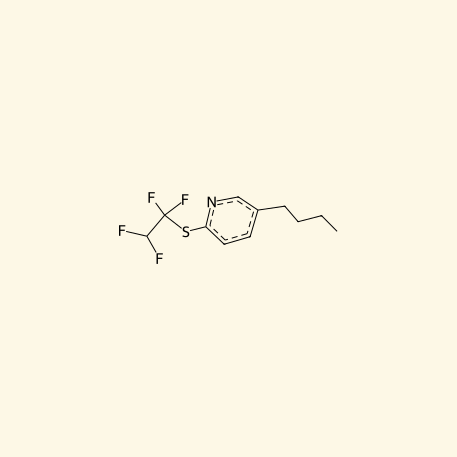 CCCCc1ccc(SC(F)(F)C(F)F)nc1